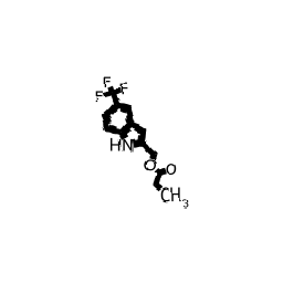 CCC(=O)OCc1cc2cc(C(F)(F)F)ccc2[nH]1